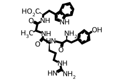 C[C@H](NC(=O)[C@H](CCCNC(=N)N)NC(=O)[C@@H](N)Cc1ccc(O)cc1)C(=O)N[C@@H](Cc1c[nH]c2ccccc12)C(=O)O